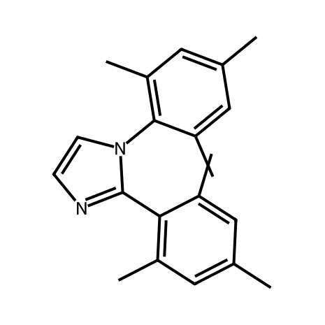 Cc1cc(C)c(-c2nccn2-c2c(C)cc(C)cc2C)c(C)c1